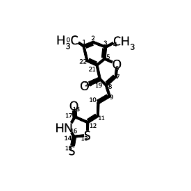 Cc1cc(C)c2occ(C=CC=C3SC(=S)NC3=O)c(=O)c2c1